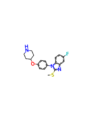 CSc1nc2cc(F)ccc2n1-c1ccc(OC2CCNCC2)cc1